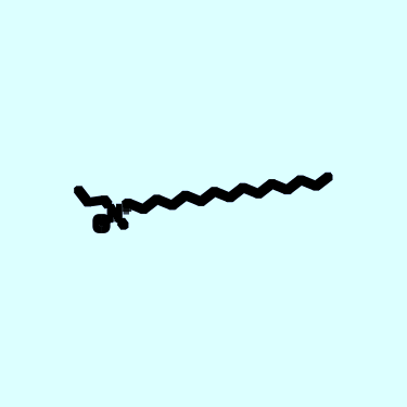 CCCCCCCCCCCCCCC[N+](C)([O-])CCC